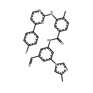 Cc1cn(-c2cc(C=O)cc(NC(=O)c3ccc(C)c(Nc4nccc(-c5ccc(F)cc5)n4)c3)c2)cn1